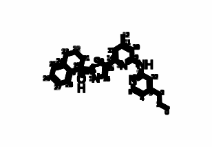 CCCc1ccnc(Nc2cc(C)cc(-c3cnc([C@@]4(O)CCCc5ccccc54)s3)n2)c1